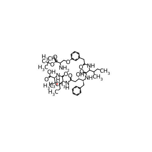 CCC(C)C(NC(=O)Cc1cccc(OCC(N)C(=O)OC(C)(C)C)c1)C(=O)N[C@@H](Cc1ccccc1)[C@@H](O)CC(=O)N[C@H](C(=O)N[C@H](C(=O)O)C(C)C)[C@@H](C)CC